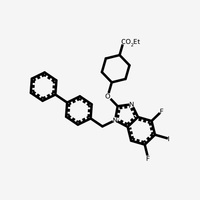 CCOC(=O)C1CCC(Oc2nc3c(F)c(I)c(F)cc3n2Cc2ccc(-c3ccccc3)cc2)CC1